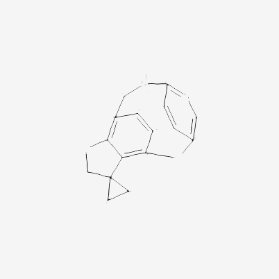 c1cc2ncc1Oc1ccc(c3c1C1(CC1)CO3)CN2